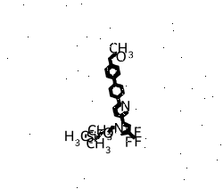 CC(=O)Cc1ccc(C2CCC(c3ccc(-c4cc(C(F)(F)F)cn4COCC[Si](C)(C)C)cn3)CC2)cc1